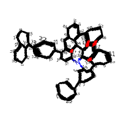 c1ccc(-c2ccc(-c3ccccc3)c(N(c3ccc(-c4ccc(-c5cccc6ccccc56)cc4)cc3)c3ccccc3-c3cccc4cccc(-c5ccccc5)c34)c2)cc1